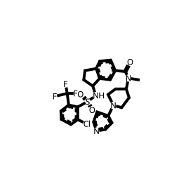 CN(C(=O)c1ccc2c(c1)C(NS(=O)(=O)c1c(Cl)cccc1C(F)(F)F)CC2)C1CCN(c2ccncc2)CC1